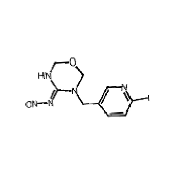 O=N/N=C1\NCOCN1Cc1ccc(I)nc1